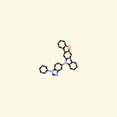 c1ccc(-n2cnc3cc(-n4c5ccccc5c5cc6oc7ccccc7c6cc54)ccc32)cc1